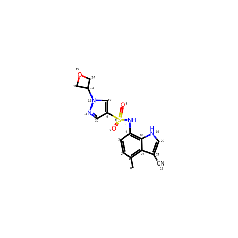 Cc1ccc(NS(=O)(=O)c2cnn(C3COC3)c2)c2[nH]cc(C#N)c12